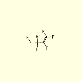 FCC(F)(Br)C(F)=C(F)F